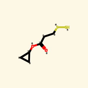 O=C(CCSS)OC1CC1